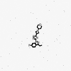 CCc1nn(-c2noc(C3CN(C4CCOCC4)C3)n2)c2cc(F)ccc12